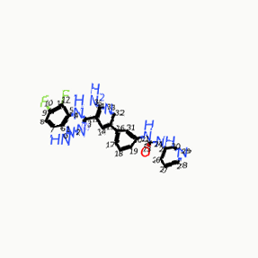 N=N/N=C(\Nc1cccc(F)c1F)c1cc(-c2cccc(NC(=O)Nc3cccnc3)c2)cnc1N